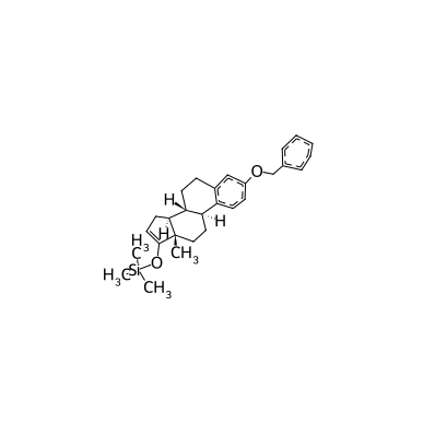 C[C@]12CC[C@@H]3c4ccc(OCc5ccccc5)cc4CC[C@H]3[C@@H]1CC=C2O[Si](C)(C)C